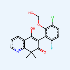 CC1(C)C(=O)C(c2c(F)ccc(Cl)c2OCO)=C(O)c2cccnc21